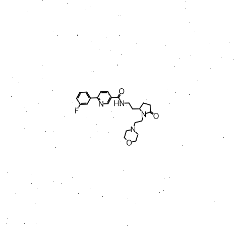 O=C(NCCC1CCC(=O)N1CCN1CCOCC1)c1ccc(-c2cccc(F)c2)nc1